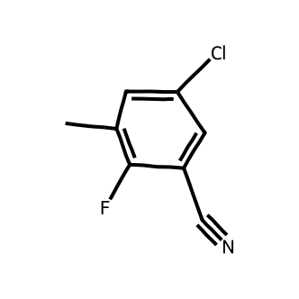 Cc1cc(Cl)cc(C#N)c1F